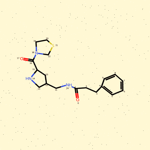 O=C(CCc1ccccc1)NCC1CNC(C(=O)N2CCSC2)C1